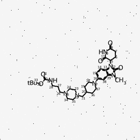 Cn1c(=O)n(C2CCC(=O)NC2=O)c2ccc(N3CCC(CN4CCN(CCCNC(=O)OC(C)(C)C)CC4)CC3)cc21